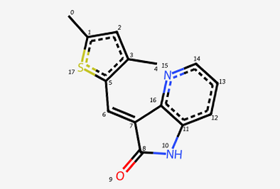 Cc1cc(C)c(C=C2C(=O)Nc3cccnc32)s1